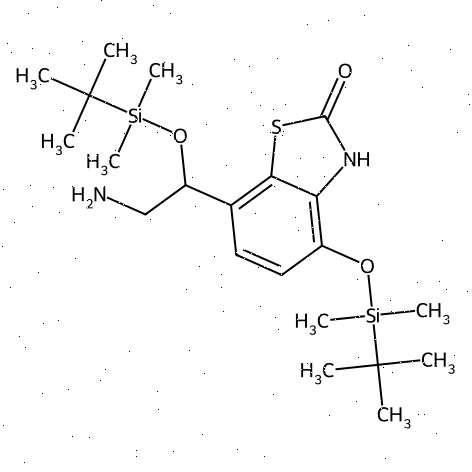 CC(C)(C)[Si](C)(C)Oc1ccc(C(CN)O[Si](C)(C)C(C)(C)C)c2sc(=O)[nH]c12